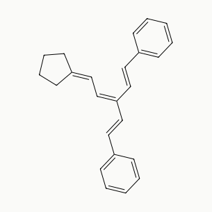 C(=Cc1ccccc1)C(C=Cc1ccccc1)=CC=C1CCCC1